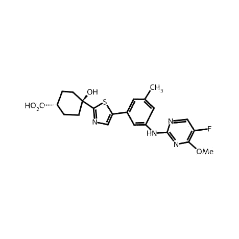 COc1nc(Nc2cc(C)cc(-c3cnc([C@]4(O)CC[C@H](C(=O)O)CC4)s3)c2)ncc1F